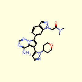 CN(C)C(=O)Cn1ncc2ccc(-c3cc(-c4ccnn4C4CCOCC4)c4c(N)ncnn34)cc21